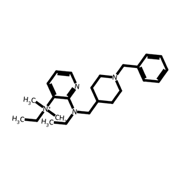 CCN(CC1CCN(Cc2ccccc2)CC1)c1ncccc1[N+](C)(C)CC